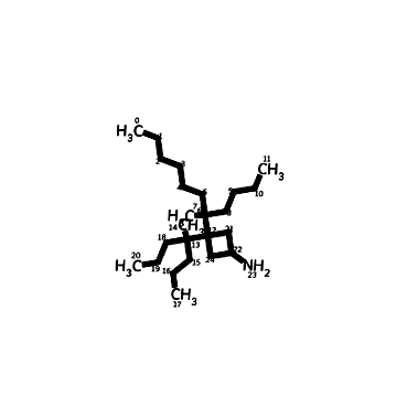 CCCCCCC(C)(CCCC)C1(C(C)(CCC)CCC)CC(N)C1